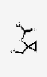 CCC(=O)OC1(CC#N)CC1